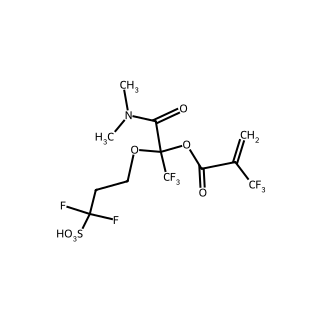 C=C(C(=O)OC(OCCC(F)(F)S(=O)(=O)O)(C(=O)N(C)C)C(F)(F)F)C(F)(F)F